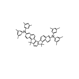 Cc1cc(C)cc(N(c2cc(C)cc(C)c2)c2ccc3c4c(ccc3c2)-c2c(ccc3c2-c2ccc5cc(N(c6cc(C)cc(C)c6)c6cc(C)cc(C)c6)ccc5c2C3(C)C)C4(C)C)c1